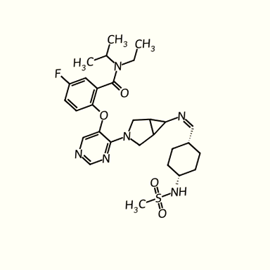 CCN(C(=O)c1cc(F)ccc1Oc1cncnc1N1CC2C(C1)C2/N=C\[C@H]1CC[C@@H](NS(C)(=O)=O)CC1)C(C)C